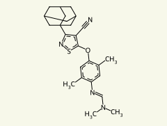 Cc1cc(Oc2snc(C34CC5CC(CC(C5)C3)C4)c2C#N)c(C)cc1N=CN(C)C